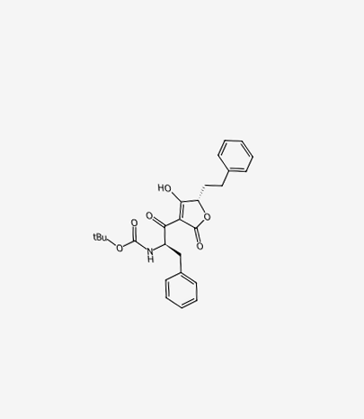 CC(C)(C)OC(=O)N[C@H](Cc1ccccc1)C(=O)C1=C(O)[C@H](CCc2ccccc2)OC1=O